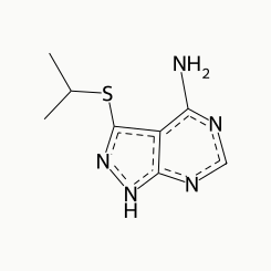 CC(C)Sc1n[nH]c2ncnc(N)c12